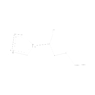 CCCCC(F)n1ccnc1